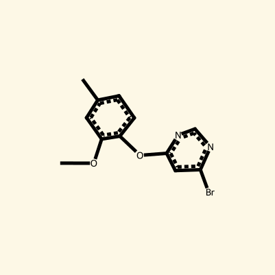 COc1cc(C)ccc1Oc1cc(Br)ncn1